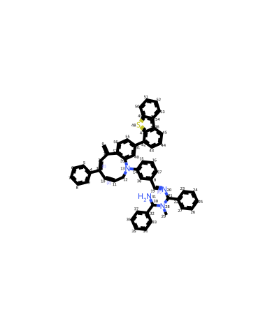 C=C1/C=C(c2ccccc2)\C=C/CN(c2cccc(/C=N/C(c3ccccc3)N(C)C(N)c3ccccc3)c2)c2cc(-c3cccc4c3sc3ccccc34)ccc21